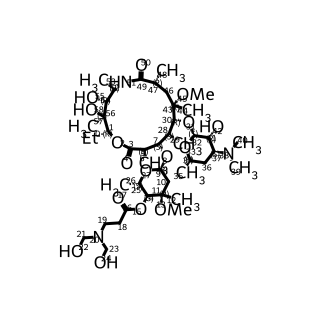 CC[C@H]1OC(=O)[C@H](C)[C@@H](O[C@H]2C[C@@](C)(OC)[C@@H](OC(=O)CCN(CO)CO)[C@H](C)O2)[C@H](C)[C@@H](O[C@@H]2O[C@H](C)C[C@H](N(C)C)[C@H]2O)[C@](C)(OC)C[C@@H](C)C(=O)N[C@H](C)[C@@H](O)[C@]1(C)O